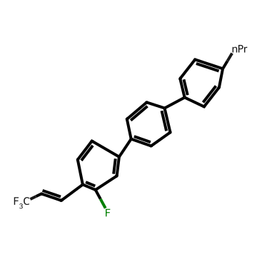 CCCc1ccc(-c2ccc(-c3ccc(/C=C/C(F)(F)F)c(F)c3)cc2)cc1